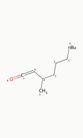 CCCCCCCC(C)C=C=O